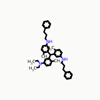 CCN(CC)c1ccc(C)c(C(c2cc(NCCCc3ccccc3)ccc2C)c2cc(NCCCc3ccccc3)ccc2C)c1